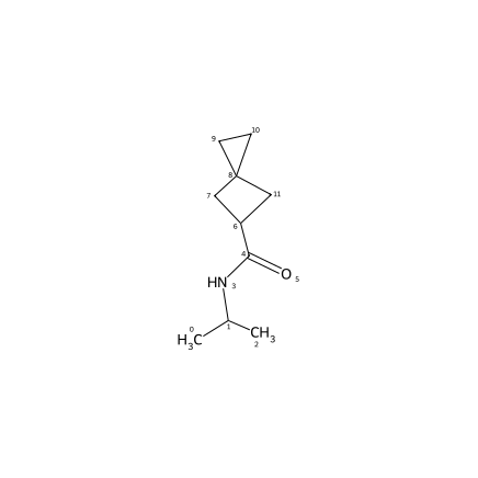 CC(C)NC(=O)C1CC2(CC2)C1